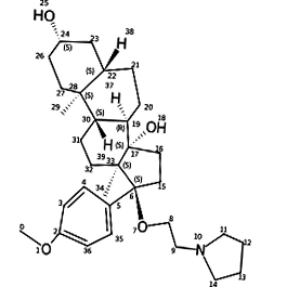 COc1ccc([C@@]2(OCCN3CCCC3)CC[C@]3(O)[C@@H]4CC[C@H]5C[C@@H](O)CC[C@]5(C)[C@H]4CC[C@]23C)cc1